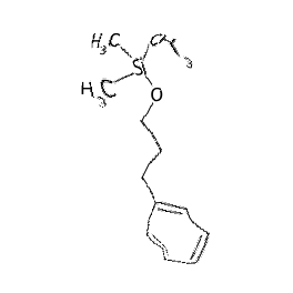 C[Si](C)(C)OCCCc1ccccc1